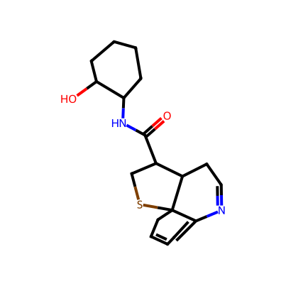 O=C(NC1CCCCC1O)C1CSC23CC=CC=C2N=CCC13